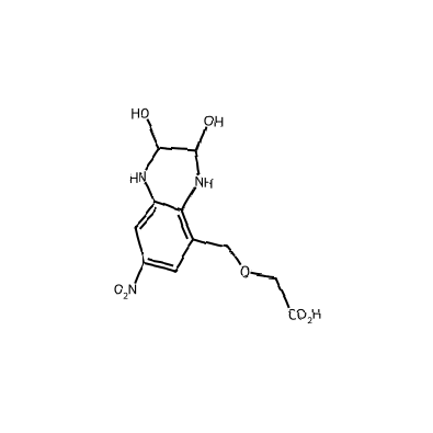 O=C(O)COCc1cc([N+](=O)[O-])cc2c1NC(O)C(O)N2